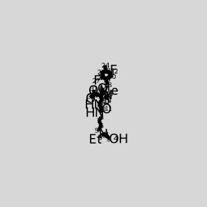 CCN(CCO)CCCCNC(=O)Nc1snc(OCc2cc(F)c(C)cc2F)c1C(=O)OC